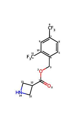 O=C(OCc1ccc(C(F)(F)F)cc1C(F)(F)F)C1CNC1